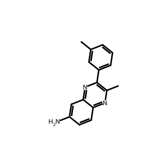 Cc1cccc(-c2nc3cc(N)ccc3nc2C)c1